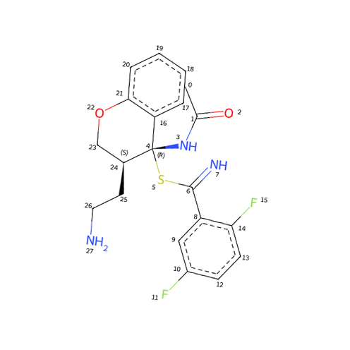 CC(=O)N[C@]1(SC(=N)c2cc(F)ccc2F)c2ccccc2OC[C@@H]1CCN